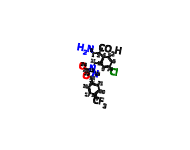 NCC(C(=O)O)c1ccc(Cl)cc1Cn1nc(-c2ccc(C(F)(F)F)cc2)oc1=O